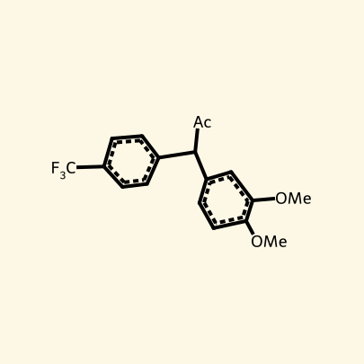 COc1ccc(C(C(C)=O)c2ccc(C(F)(F)F)cc2)cc1OC